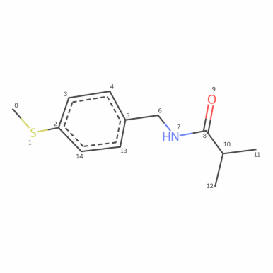 CSc1ccc(CNC(=O)C(C)C)cc1